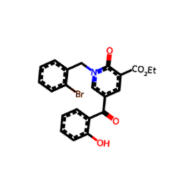 CCOC(=O)c1cc(C(=O)c2ccccc2O)cn(Cc2ccccc2Br)c1=O